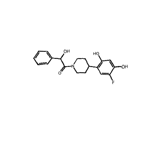 O=C(C(O)c1ccccc1)N1CCC(c2cc(F)c(O)cc2O)CC1